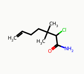 C=CCCC(C)(C)C(Cl)C(N)=O